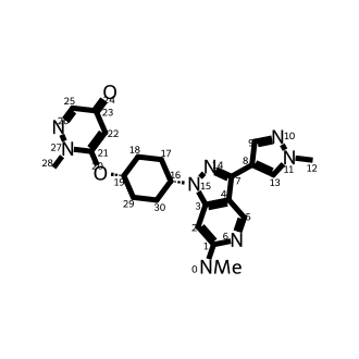 CNc1cc2c(cn1)c(-c1cnn(C)c1)nn2[C@H]1CC[C@@H](Oc2cc(=O)cnn2C)CC1